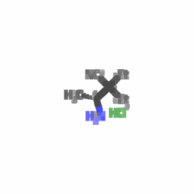 CCC(C#N)(CC)[C@@H](C)N.Cl